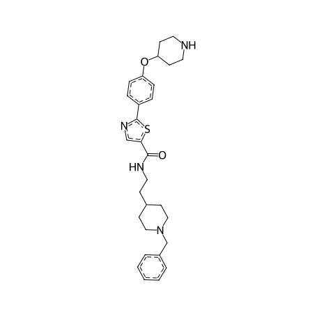 O=C(NCCC1CCN(Cc2ccccc2)CC1)c1cnc(-c2ccc(OC3CCNCC3)cc2)s1